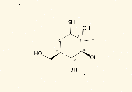 OC[C@H]1OC(O)[C@@](O)(F)[C@@H](O)[C@@H]1O